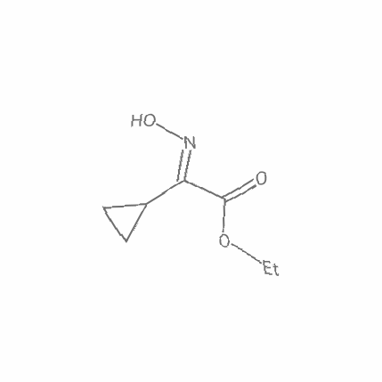 CCOC(=O)/C(=N/O)C1CC1